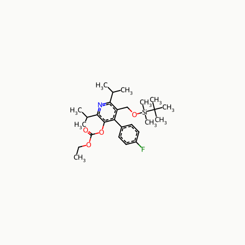 CCOC(=O)Oc1c(C(C)C)nc(C(C)C)c(CO[Si](C)(C)C(C)(C)C)c1-c1ccc(F)cc1